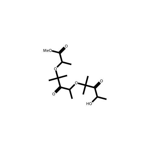 COC(=O)C(C)OC(C)(C)C(=O)C(C)OC(C)(C)C(=O)C(C)O